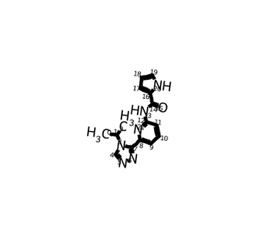 CC(C)n1cnnc1-c1cccc(NC(=O)c2ccc[nH]2)n1